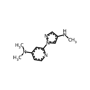 CNc1cnn(-c2cc(N(C)C)ccn2)c1